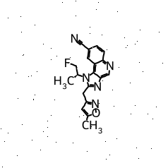 Cc1cc(Cc2nc3cnc4ccc(C#N)cc4c3n2[C@@H](C)CF)no1